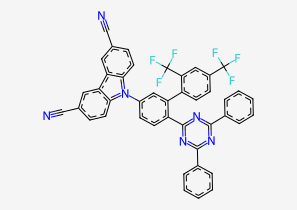 N#Cc1ccc2c(c1)c1cc(C#N)ccc1n2-c1ccc(-c2nc(-c3ccccc3)nc(-c3ccccc3)n2)c(-c2ccc(C(F)(F)F)cc2C(F)(F)F)c1